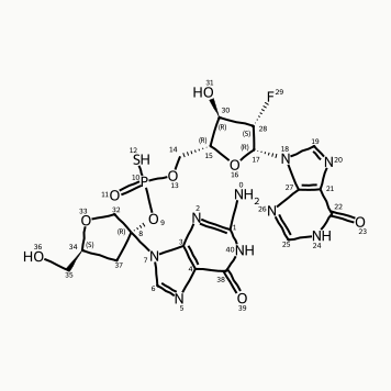 Nc1nc2c(ncn2[C@]2(OP(=O)(S)OC[C@H]3O[C@@H](n4cnc5c(=O)[nH]cnc54)[C@@H](F)[C@@H]3O)CO[C@H](CO)C2)c(=O)[nH]1